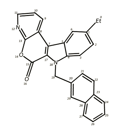 CCc1ccc2c(c1)c1c3cccnc3oc(=O)c1n2Cc1ccc2ccccc2c1